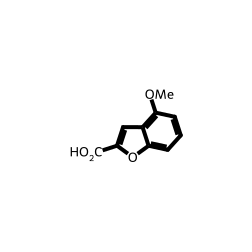 COc1cccc2oc(C(=O)O)cc12